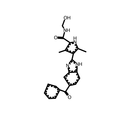 Cc1[nH]c(C(=O)NCO)c(C)c1-c1nc2cc(C(=O)c3ccccc3)ccc2[nH]1